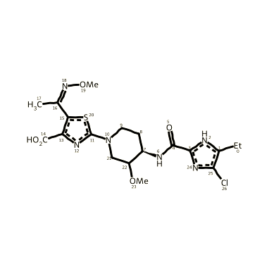 CCc1[nH]c(C(=O)N[C@@H]2CCN(c3nc(C(=O)O)c(/C(C)=N\OC)s3)CC2OC)nc1Cl